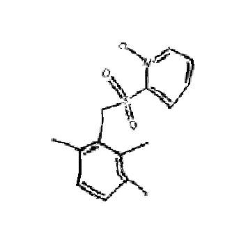 Cc1ccc(C)c(CS(=O)(=O)c2cccc[n+]2[O-])c1C